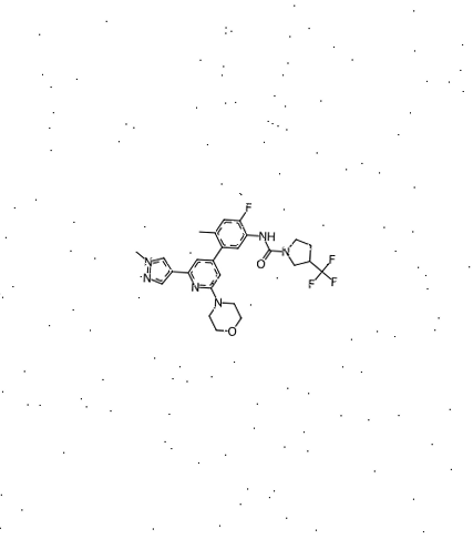 Cc1cc(F)c(NC(=O)N2CCC(C(F)(F)F)C2)cc1-c1cc(-c2cnn(C)c2)nc(N2CCOCC2)c1